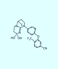 N#Cc1ccc(C(F)(F)F)c(Oc2ccc(C34CCC(CC3)N3CCS(O)(O)N=C34)cc2)c1